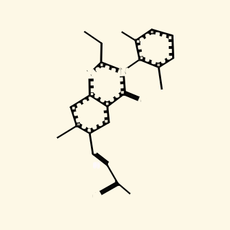 CCc1nc2cc(C)c(/C=C/C(C)=O)cc2c(=O)n1-c1c(C)cccc1C